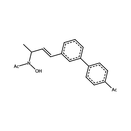 CC(=O)c1ccc(-c2cccc(C=CC(C)N(O)C(C)=O)c2)cc1